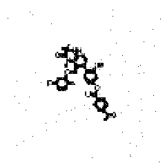 COc1cc(OC(=O)c2ccc(C(C)=O)cc2)ccc1-c1ccc2c(c1COc1cc(F)ccc1C)N(C)C(=O)C(C)(C)N2